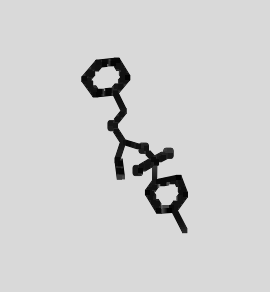 C=CC(OCc1ccccc1)OS(=O)(=O)c1ccc(C)cc1